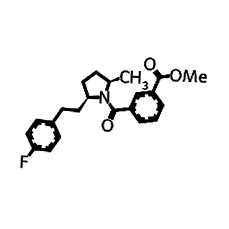 COC(=O)c1cccc(C(=O)N2[C@@H](CCc3ccc(F)cc3)CC[C@H]2C)c1